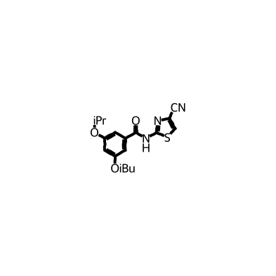 CC(C)COc1cc(OC(C)C)cc(C(=O)Nc2nc(C#N)cs2)c1